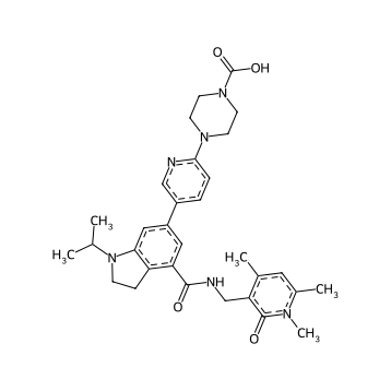 Cc1cc(C)n(C)c(=O)c1CNC(=O)c1cc(-c2ccc(N3CCN(C(=O)O)CC3)nc2)cc2c1CCN2C(C)C